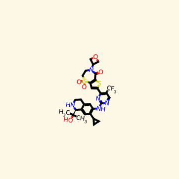 CC(C)(O)[C@H]1NCCc2cc(Nc3ncc(C(F)(F)F)c(-c4cc5c(s4)C(=O)N(C4COC4)CCS5(=O)=O)n3)c(C3CC3)cc21